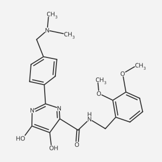 COc1cccc(CNC(=O)c2nc(-c3ccc(CN(C)C)cc3)nc(O)c2O)c1OC